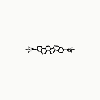 C[Si](C)(C)C#Cc1ccc2c(ccc3c2ccc2c4ccc5cc(C#C[Si](C)(C)C)ccc5c4ccc32)c1